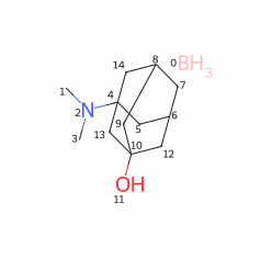 B.CN(C)C12CC3CC(CC(O)(C3)C1)C2